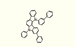 c1ccc(-c2cccc(-n3c4ccccc4c4ccc5c(c6ccc(-c7ccccc7)cc6n5-c5ccccc5)c43)c2)cc1